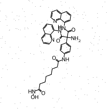 NC(C(=O)Nc1cccc2cccnc12)(C(=O)Nc1cccc2cccnc12)c1ccc(NC(=O)CCCCCCC(=O)NO)cc1